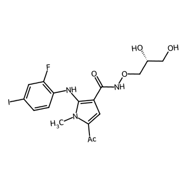 CC(=O)c1cc(C(=O)NOC[C@H](O)CO)c(Nc2ccc(I)cc2F)n1C